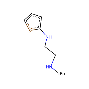 CC(C)(C)NCCNc1cccs1